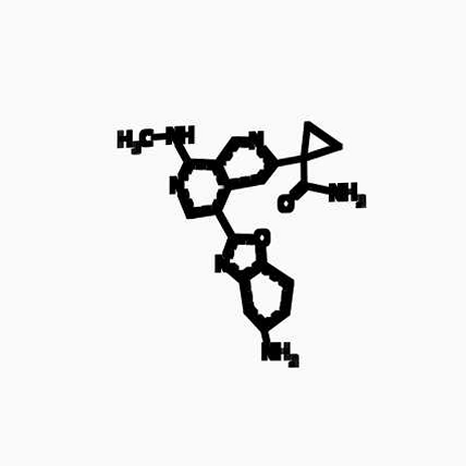 CNc1ncc(-c2nc3cc(N)ccc3o2)c2cc(C3(C(N)=O)CC3)ncc12